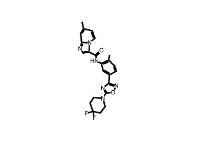 Cc1ccn2c(C(=O)Nc3cc(-c4noc(N5CCC(F)(F)CC5)n4)ccc3C)cnc2c1